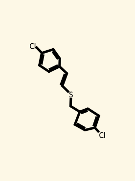 Clc1ccc(C=CSCc2ccc(Cl)cc2)cc1